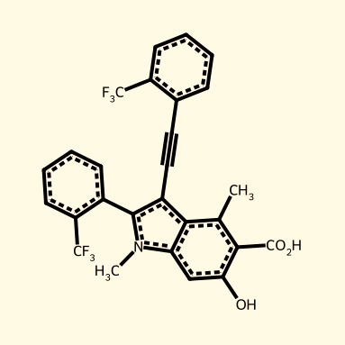 Cc1c(C(=O)O)c(O)cc2c1c(C#Cc1ccccc1C(F)(F)F)c(-c1ccccc1C(F)(F)F)n2C